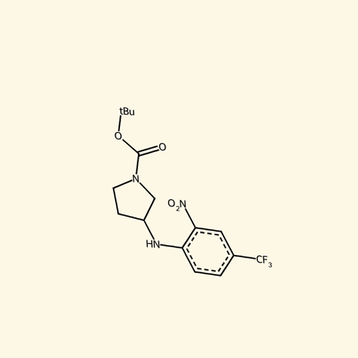 CC(C)(C)OC(=O)N1CCC(Nc2ccc(C(F)(F)F)cc2[N+](=O)[O-])C1